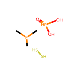 CP(C)C.O=[PH](O)O.SS